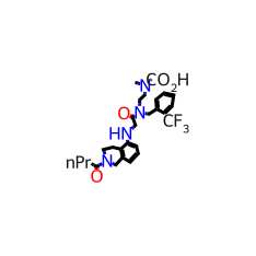 CCCC(=O)N1CCc2c(cccc2NCC(=O)N(CCN(C)C(=O)O)Cc2ccccc2C(F)(F)F)C1